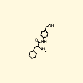 NC(CC1CCCCC1)C(=O)Nc1ccc(CO)cc1